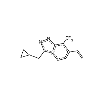 C=Cc1ccn2c(CC3CC3)nnc2c1C(F)(F)F